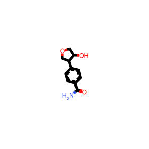 NC(=O)c1ccc(C2COCC2O)cc1